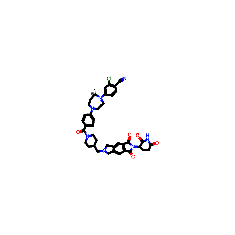 C[C@H]1CCN(c2ccc(C(=O)N3CCC(CN4Cc5cc6c(cc5C4)C(=O)N(C4CCC(=O)NC4=O)C6=O)CC3)cc2)CCN1c1ccc(C#N)c(Cl)c1